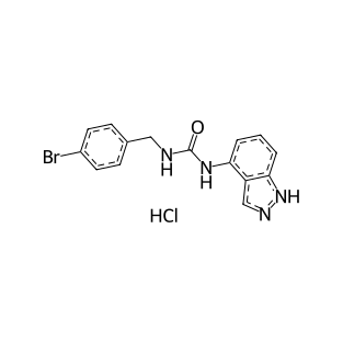 Cl.O=C(NCc1ccc(Br)cc1)Nc1cccc2[nH]ncc12